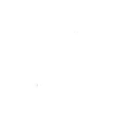 Cc1cccc2c1ccc1occc12